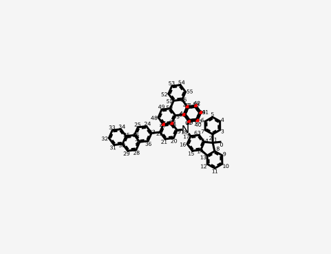 CC1(c2ccccc2)c2ccccc2-c2ccc(N(c3ccc(-c4ccc5c(ccc6ccccc65)c4)cc3)c3ccccc3-c3ccccc3-c3ccccc3-c3ccccc3)cc21